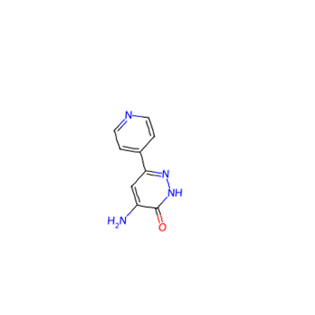 Nc1cc(-c2ccncc2)n[nH]c1=O